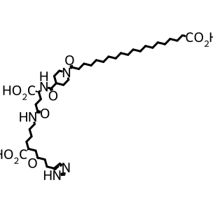 O=C(O)CCCCCCCCCCCCCCCCCCC(=O)N1CCC(C(=O)N[C@@H](CCC(=O)NCCCC[C@H](CC(=O)CCc2cnc[nH]2)C(=O)O)C(=O)O)CC1